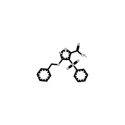 CC(=O)c1onc(OCc2ccccc2)c1S(=O)(=O)c1ccccc1